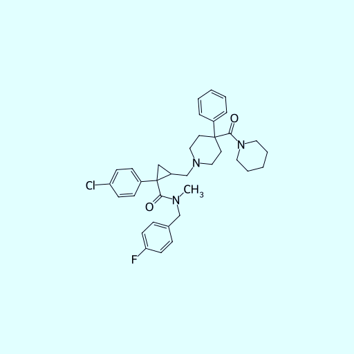 CN(Cc1ccc(F)cc1)C(=O)C1(c2ccc(Cl)cc2)CC1CN1CCC(C(=O)N2CCCCC2)(c2ccccc2)CC1